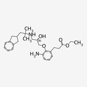 CCOC(=O)CCc1cccc(N)c1OC[C@H](O)CNC(C)(C)CC1Cc2ccccc2C1